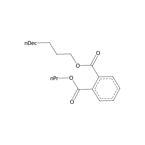 CCCCCCCCCCCCCOC(=O)c1ccccc1C(=O)OCCC